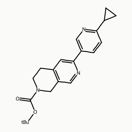 CC(C)(C)OC(=O)N1CCc2cc(-c3ccc(C4CC4)nc3)ncc2C1